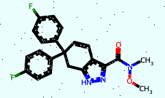 CON(C)C(=O)c1n[nH]c2c1C=CC(c1ccc(F)cc1)(c1ccc(F)cc1)C2